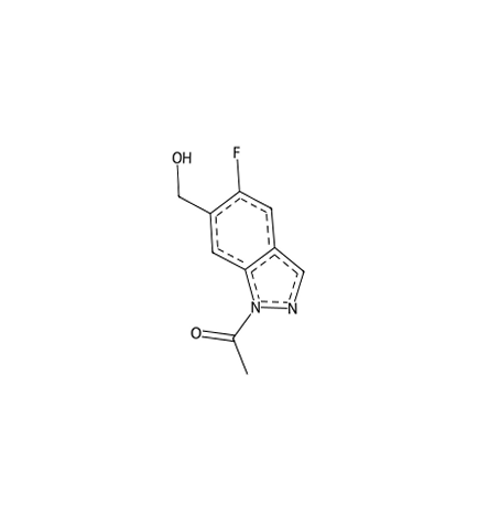 CC(=O)n1ncc2cc(F)c(CO)cc21